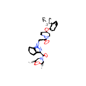 C[C@@H]1CN(C(=O)c2nn(CC(=O)N3CCC(Oc4ccccc4C(F)(F)F)CC3)c3c2CCC3)C[C@H](C)O1